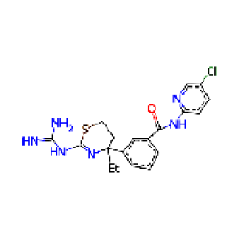 CCC1(c2cccc(C(=O)Nc3ccc(Cl)cn3)c2)CCSC(NC(=N)N)=N1